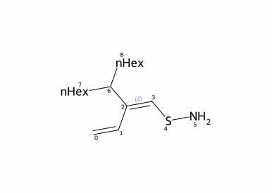 C=C/C(=C\SN)C(CCCCCC)CCCCCC